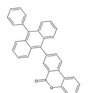 O=c1oc2ccccc2c2ccc(-c3c4ccccc4c(-c4ccccc4)c4ccccc34)cc12